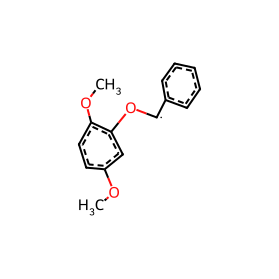 COc1ccc(OC)c(O[CH]c2ccccc2)c1